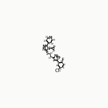 Fc1ccc(Cl)cc1-c1cc(CCSc2nnc(-c3ccncc3)n2C2CC2)no1